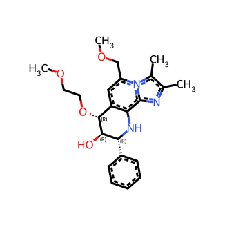 COCCO[C@@H]1c2cc(COC)n3c(C)c(C)nc3c2N[C@H](c2ccccc2)[C@H]1O